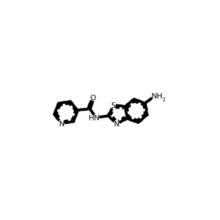 Nc1ccc2nc(NC(=O)c3cccnc3)sc2c1